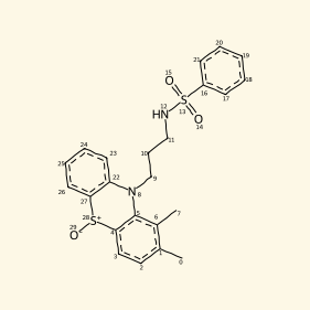 Cc1ccc2c(c1C)N(CCCNS(=O)(=O)c1ccccc1)c1ccccc1[S+]2[O-]